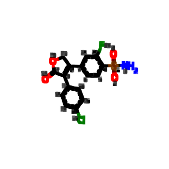 NS(=O)(=O)c1ccc(C2=C(c3ccc(Cl)cc3)C(=O)OC2)cc1F